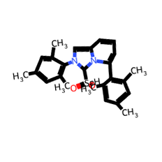 Cc1cc(C)c(C2=CC=CC3=CN(c4c(C)cc(C)cc4C)C([SeH](=O)=O)N32)c(C)c1